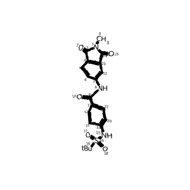 CN1C(=O)c2ccc(NC(=O)c3ccc(NS(=O)(=O)C(C)(C)C)cc3)cc2C1=O